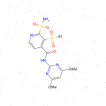 CCS(=O)(=O)c1c(C(=O)Nc2nc(OC)cc(OC)n2)ccnc1S(N)(=O)=O